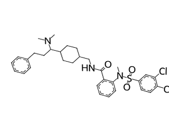 CN(C)C(CCc1ccccc1)C1CCC(CNC(=O)c2ccccc2N(C)S(=O)(=O)c2ccc(Cl)c(Cl)c2)CC1